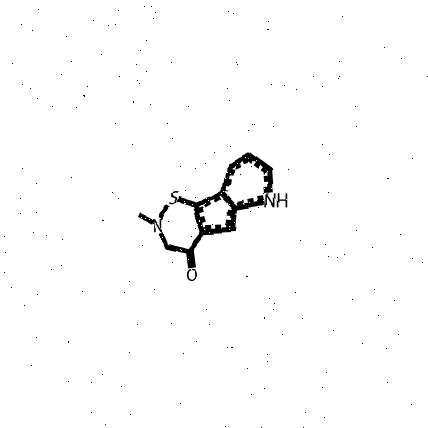 CN1CC(=O)c2cc3[nH]cccc-3c2S1